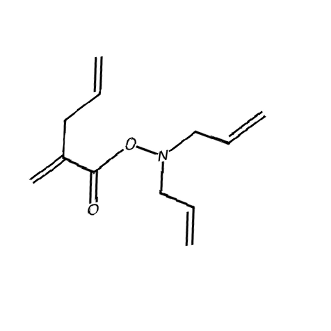 C=CCC(=C)C(=O)ON(CC=C)CC=C